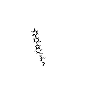 Cc1ccc(-c2ccc(-c3cn4c(n3)CCC(CNC(=O)CC3CC3)C4)c(C)c2)cc1